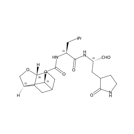 CC(C)C[C@H](NC(=O)O[C@H]1C2CC[C@H]3OC[C@@H]1C3C2)C(=O)N[C@H](C=O)CC1CCNC1=O